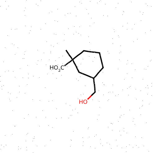 CC1(C(=O)O)CCCC(CO)C1